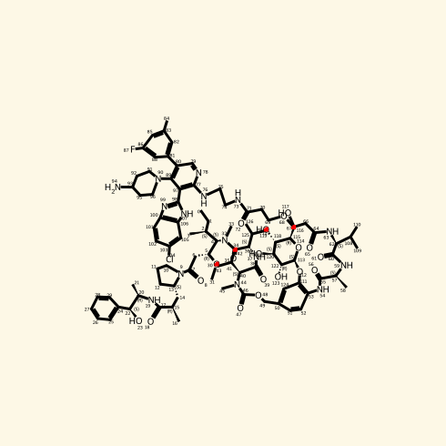 CC[C@H](C)[C@@H]([C@@H](CC(=O)N1CCC[C@H]1C[C@@H](C)C(=O)N[C@H](C)[C@@H](O)c1ccccc1)OC)N(C)C(=O)[C@@H](NC(=O)[C@H](C(C)C)N(C)C(=O)OCc1ccc(NC(=O)[C@H](C)NC(=O)[C@@H](NC(=O)CCOCCC(=O)NCCNc2ncc(-c3cc(C)cc(F)c3)c(N3CCC(N)CC3)c2-c2nc3ccc(Cl)cc3[nH]2)C(C)C)c(O[C@@H]2O[C@H](CO)[C@@H](O)[C@H](O)[C@H]2O)c1)C(C)C